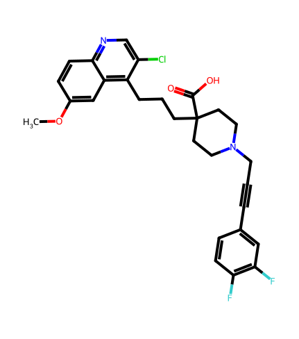 COc1ccc2ncc(Cl)c(CCCC3(C(=O)O)CCN(CC#Cc4ccc(F)c(F)c4)CC3)c2c1